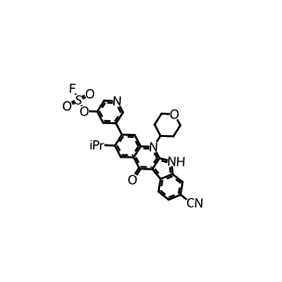 CC(C)c1cc2c(=O)c3c4ccc(C#N)cc4[nH]c3n(C3CCOCC3)c2cc1-c1cncc(OS(=O)(=O)F)c1